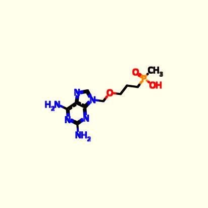 CP(=O)(O)CCCOCn1cnc2c(N)nc(N)nc21